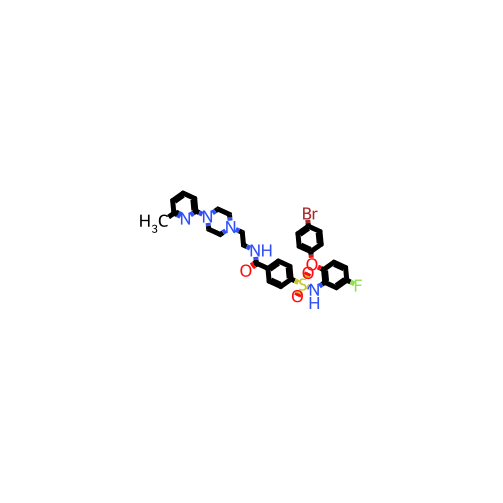 Cc1cccc(N2CCN(CCNC(=O)c3ccc(S(=O)(=O)Nc4cc(F)ccc4Oc4ccc(Br)cc4)cc3)CC2)n1